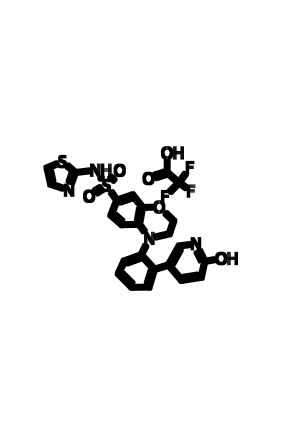 O=C(O)C(F)(F)F.O=S(=O)(Nc1nccs1)c1ccc2c(c1)OCCN2c1ccccc1-c1ccc(O)nc1